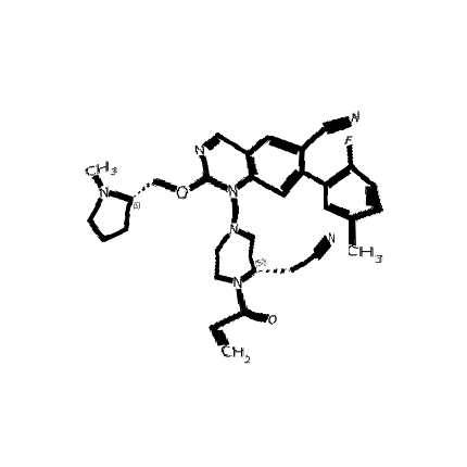 C=CC(=O)N1CCN(N2c3cc(-c4cc(C)ccc4F)c(C#N)cc3C=NC2OC[C@@H]2CCCN2C)C[C@@H]1CC#N